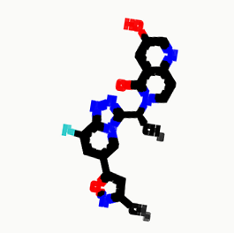 Cc1cc(-c2cc(F)c3nnc([C@H](C)n4ccc5ncc(O)cc5c4=O)n3c2)on1